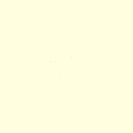 C/C=N\c1c(NC)c(=O)n(CC)c(=O)n1C